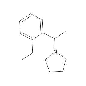 CCc1ccccc1C(C)N1CCCC1